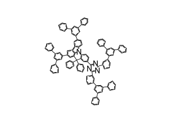 c1ccc(-c2cc(-c3ccccc3)cc(-c3cccc(-c4nc(-c5cccc(-c6cc(-c7ccccc7)cc(-c7ccccc7)c6)c5)nc(-c5ccc6c(c5)C(c5ccccc5)(c5ccccc5)c5cc(-c7cc(-c8ccccc8)cc(-c8ccccc8)c7)cc7c8cc(-c9cc(-c%10ccccc%10)cc(-c%10ccccc%10)c9)ccc8n-6c57)n4)c3)c2)cc1